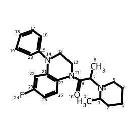 CC1CCCCN1C(C)C(=O)N1CCN(c2ccccc2)c2cc(F)ccc21